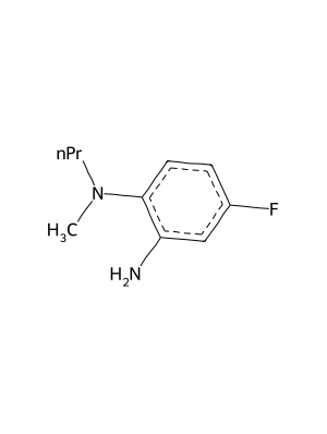 CCCN(C)c1ccc(F)cc1N